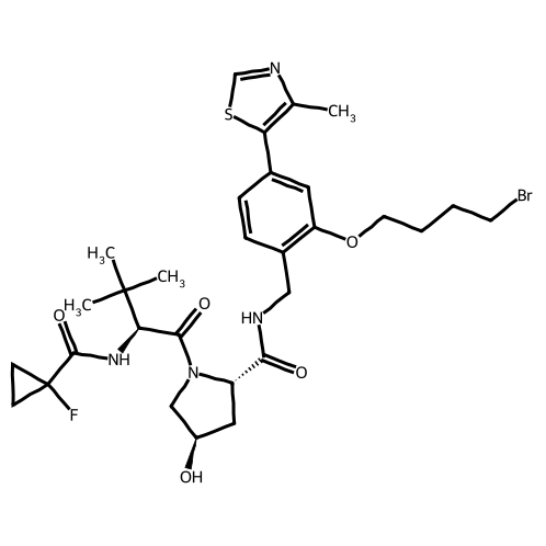 Cc1ncsc1-c1ccc(CNC(=O)[C@@H]2C[C@@H](O)CN2C(=O)[C@@H](NC(=O)C2(F)CC2)C(C)(C)C)c(OCCCCBr)c1